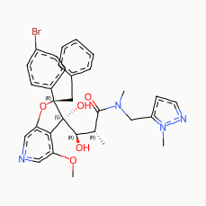 COc1cncc2c1[C@](O)([C@H](O)[C@@H](C)C(=O)N(C)Cc1ccnn1C)[C@@](Cc1ccccc1)(c1ccc(Br)cc1)O2